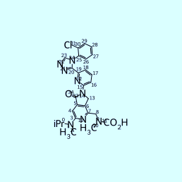 CC(C)N(C)c1cc2c(c(CN(C)C(=O)O)n1)CN(c1cccc(-c3nncn3-c3ccccc3Cl)n1)C2=O